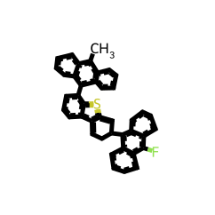 Cc1c2ccccc2c(-c2cccc3c4c(sc23)=CC(c2c3ccccc3c(F)c3ccccc23)CC=4)c2ccccc12